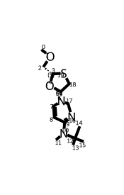 COC[C@H]1O[C@@H](N2C=CC(N(C)C(C)(C)C)=NC2)CS1